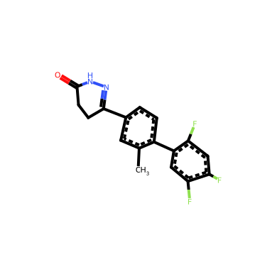 Cc1cc(C2=NNC(=O)CC2)ccc1-c1cc(F)c(F)cc1F